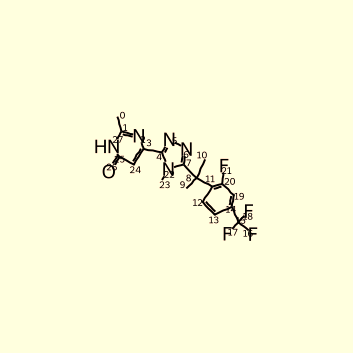 Cc1nc(-c2nnc(C(C)(C)c3ccc(C(F)(F)F)cc3F)n2C)cc(=O)[nH]1